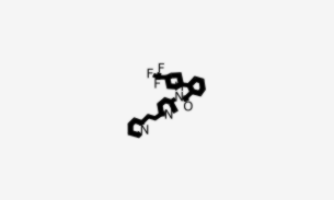 O=C(Nc1ccc(CCc2ccccn2)nc1)c1ccccc1-c1ccc(C(F)(F)F)cc1